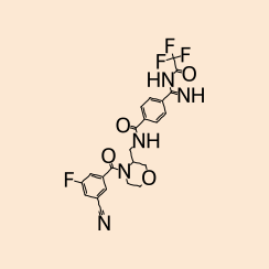 N#Cc1cc(F)cc(C(=O)N2CCOCC2CNC(=O)c2ccc(C(=N)NC(=O)C(F)(F)F)cc2)c1